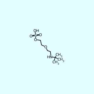 CC(C)(C)NCCOCCOS(=O)(=O)O